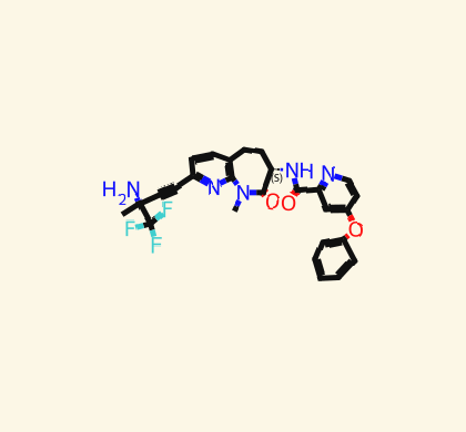 CN1C(=O)[C@@H](NC(=O)c2cc(Oc3ccccc3)ccn2)CCc2ccc(C#CC(C)(N)C(F)(F)F)nc21